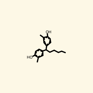 CCCCCC(c1ccc(O)c(C)c1)c1ccc(O)c(C)c1